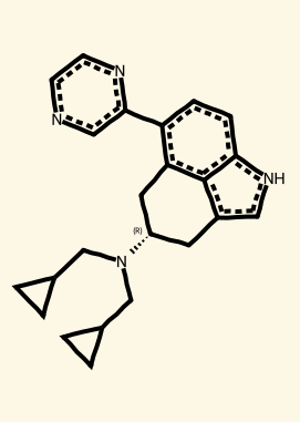 c1cnc(-c2ccc3[nH]cc4c3c2C[C@@H](N(CC2CC2)CC2CC2)C4)cn1